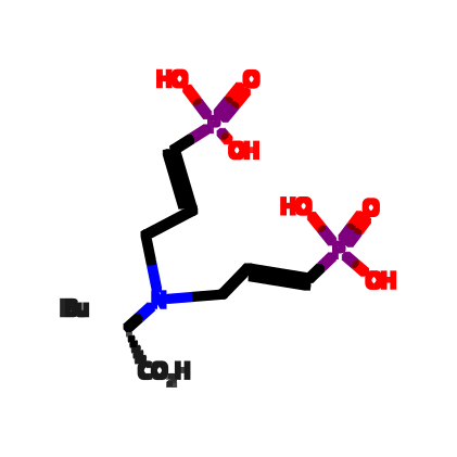 CC[C@H](C)[C@@H](C(=O)O)N(CC=CP(=O)(O)O)CC=CP(=O)(O)O